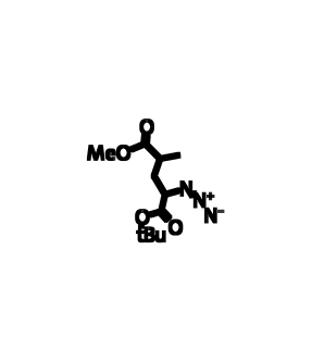 COC(=O)C(C)CC(N=[N+]=[N-])C(=O)OC(C)(C)C